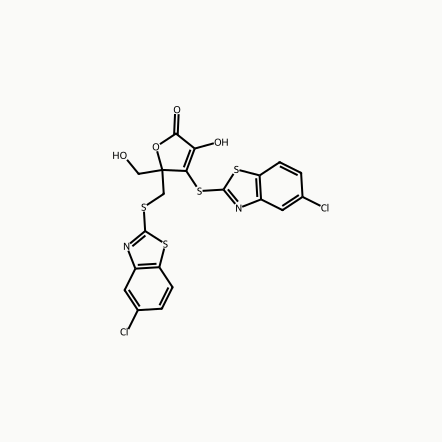 O=C1OC(CO)(CSc2nc3cc(Cl)ccc3s2)C(Sc2nc3cc(Cl)ccc3s2)=C1O